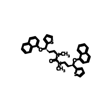 CN(CC[C@H](Oc1cccc2ccccc12)c1cccs1)C(=O)N(C)CC[C@@H](Oc1cccc2ccccc12)c1cccs1